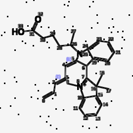 C=C/C=C/C=C1\C(C2=[N+](C)c3ccccc3C2(C)C)c2ccccc2N1C(C)CCCC(=O)O